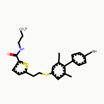 Cc1cc(SCCc2ccc(C(=O)NCCC(=O)O)s2)cc(C)c1-c1ccc(C(C)(C)C)cc1